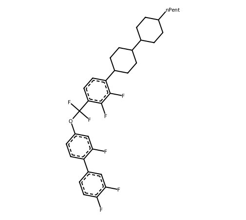 CCCCCC1CCC(C2CCC(c3ccc(C(F)(F)Oc4ccc(-c5ccc(F)c(F)c5)c(F)c4)c(F)c3F)CC2)CC1